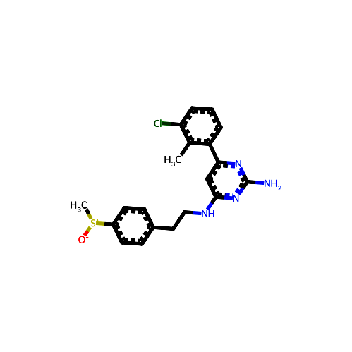 Cc1c(Cl)cccc1-c1cc(NCCc2ccc([S+](C)[O-])cc2)nc(N)n1